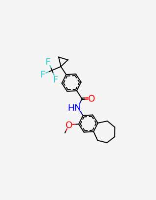 COc1cc2c(cc1NC(=O)c1ccc(C3(C(F)(F)F)CC3)cc1)CCCCC2